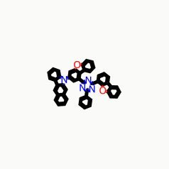 c1ccc(-c2nc(-c3cccc4c3oc3ccccc34)nc(-c3cc(-n4c5ccccc5c5cc6ccccc6cc54)cc4oc5ccccc5c34)n2)cc1